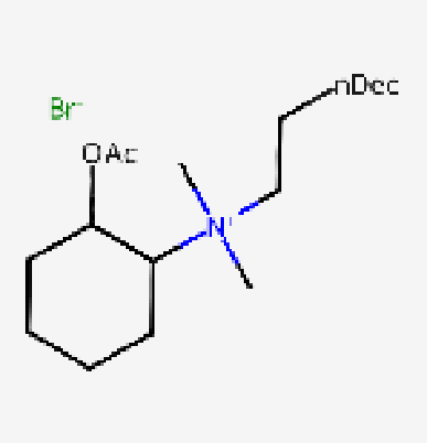 CCCCCCCCCCCC[N+](C)(C)C1CCCCC1OC(C)=O.[Br-]